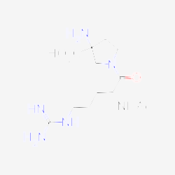 CC(=O)N[C@H](CCCNC(=N)N)C(=O)N1CCC(N)(C(=O)O)C1